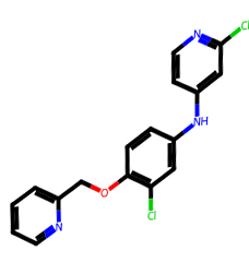 Clc1cc(Nc2ccc(OCc3ccccn3)c(Cl)c2)ccn1